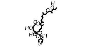 CCC(O)C(C)C1OC1CC(C)/C=C/C=C(\C)C1OC(=O)CC(O)CCC(C)(O)C(OC(=O)NC2CCN(C)CC2)/C=C/C1C